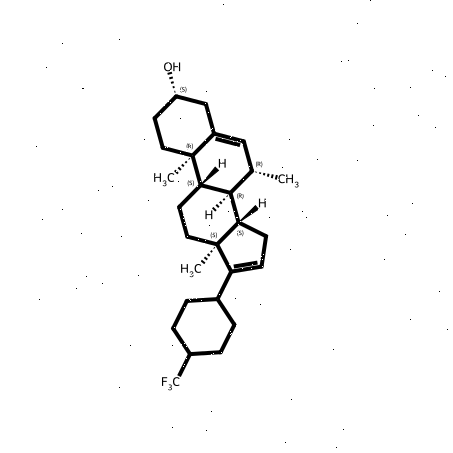 C[C@H]1C=C2C[C@@H](O)CC[C@]2(C)[C@H]2CC[C@]3(C)C(C4CCC(C(F)(F)F)CC4)=CC[C@H]3[C@H]12